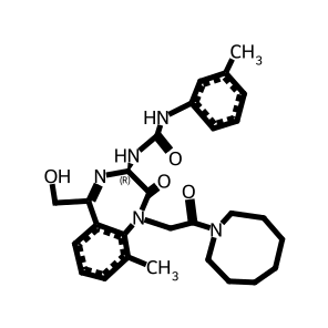 Cc1cccc(NC(=O)N[C@@H]2N=C(CO)c3cccc(C)c3N(CC(=O)N3CCCCCCC3)C2=O)c1